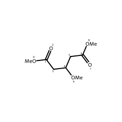 COC(=O)CC(CC(=O)OC)OC